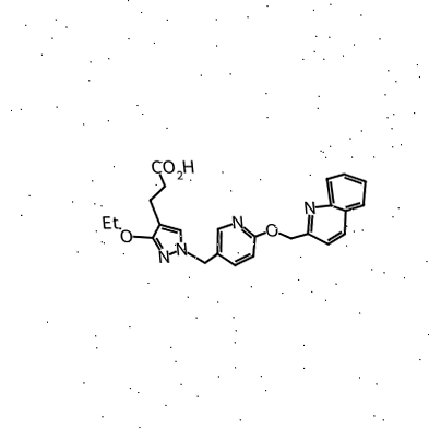 CCOc1nn(Cc2ccc(OCc3ccc4ccccc4n3)nc2)cc1CCC(=O)O